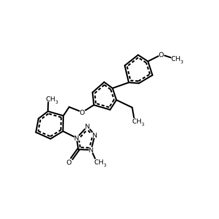 CCc1cc(OCc2c(C)cccc2-n2nnn(C)c2=O)ccc1-c1ccc(OC)cc1